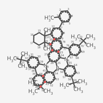 Cc1ccccc1-c1ccc2c(c1)C1(C)CCCCC1(C)N2c1cc2c3c(c1)N(c1ccc(C(C)(C)C)cc1-c1ccccc1)c1cc(C(C)(C)C)ccc1B3c1cc(C(C)(C)C)ccc1N2c1ccc(C(C)(C)C)cc1-c1ccccc1